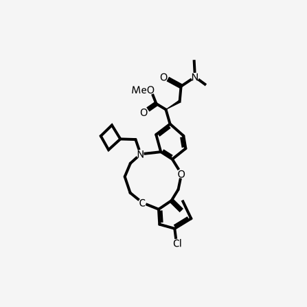 C=C1COc2ccc([C@H](CC(=O)N(C)C)C(=O)OC)cc2N(CC2CCC2)CCCC/C1=C/C(Cl)=C\C